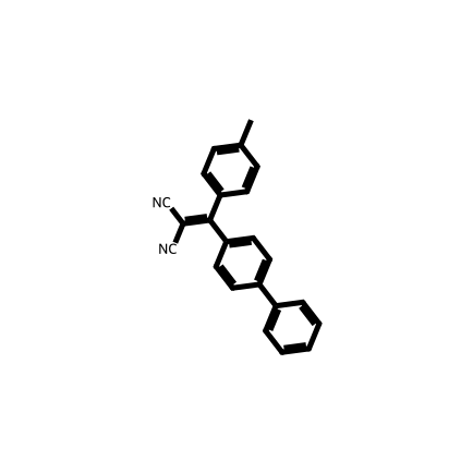 Cc1ccc(C(=C(C#N)C#N)c2ccc(-c3ccccc3)cc2)cc1